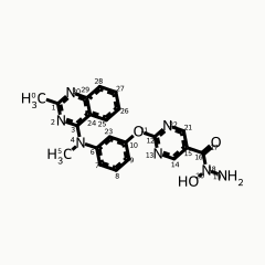 Cc1nc(N(C)c2cccc(Oc3ncc(C(=O)N(N)O)cn3)c2)c2ccccc2n1